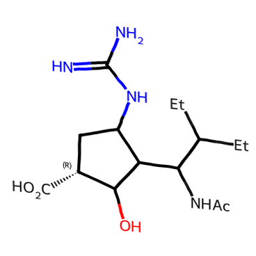 CCC(CC)C(NC(C)=O)C1C(NC(=N)N)C[C@@H](C(=O)O)C1O